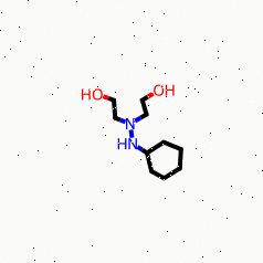 OCCN(CCO)NC1CCCCC1